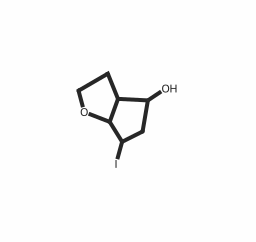 OC1CC(I)C2OCCC12